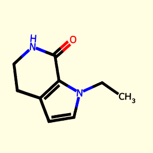 CCn1ccc2c1C(=O)NCC2